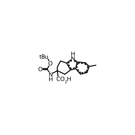 Cc1ccc2c3c([nH]c2c1)CCC(NC(=O)OC(C)(C)C)(C(=O)O)C3